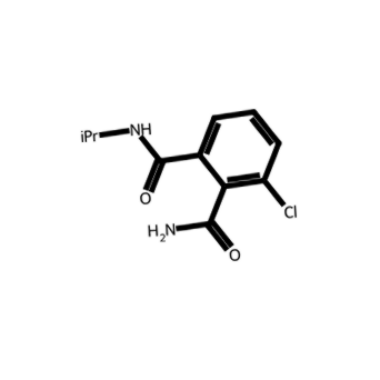 CC(C)NC(=O)c1cccc(Cl)c1C(N)=O